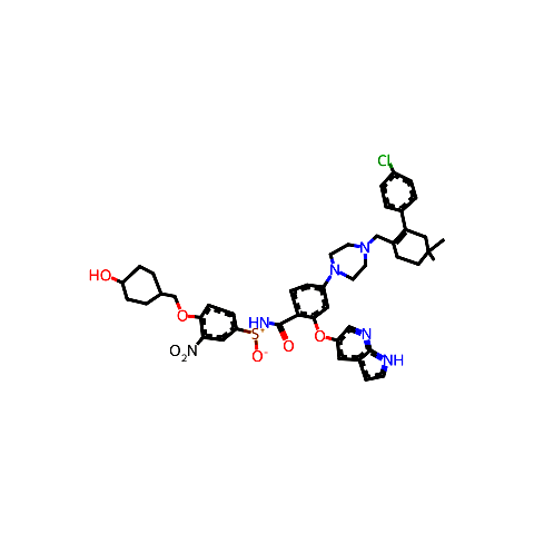 CC1(C)CCC(CN2CCN(c3ccc(C(=O)N[S+]([O-])c4ccc(OCC5CCC(O)CC5)c([N+](=O)[O-])c4)c(Oc4cnc5[nH]ccc5c4)c3)CC2)=C(c2ccc(Cl)cc2)C1